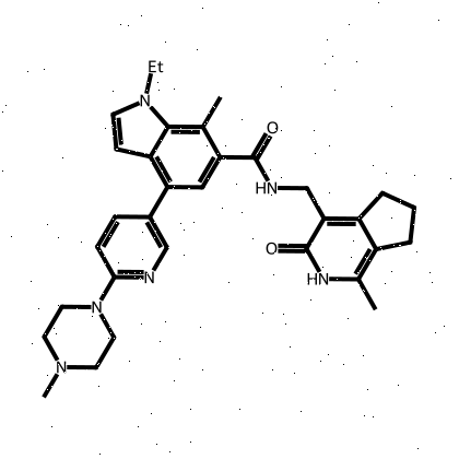 CCn1ccc2c(-c3ccc(N4CCN(C)CC4)nc3)cc(C(=O)NCc3c4c(c(C)[nH]c3=O)CCC4)c(C)c21